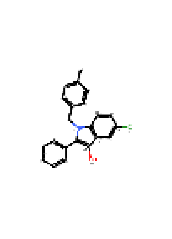 Cc1ccc(Cn2c(-c3ccccc3)c(O)c3cc(Cl)ccc32)cc1